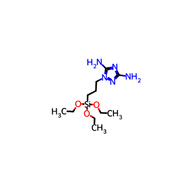 CCO[Si](CCCn1nc(N)nc1N)(OCC)OCC